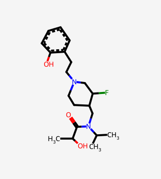 CC(O)C(=O)N(CC1CCN(CCc2ccccc2O)CC1F)C(C)C